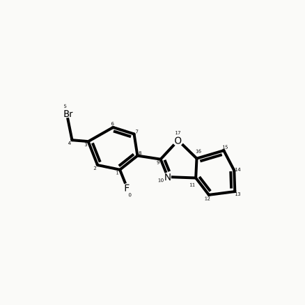 Fc1cc(CBr)ccc1-c1nc2ccccc2o1